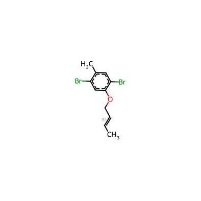 C/C=C/COc1cc(Br)c(C)cc1Br